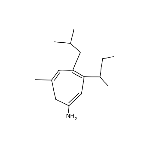 CCC(C)C1=C(CC(C)C)C=C(C)CC(N)=C1